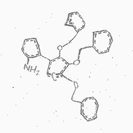 Nc1ccccc1-c1ccc(OCc2ccccc2)c(OCc2ccccc2)c1OCc1ccccc1